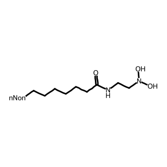 CCCCCCCCCCCCCCCC(=O)NCCN(O)O